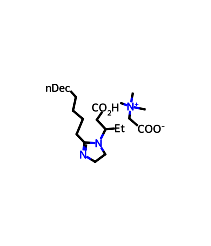 CCCCCCCCCCCCCCC1=NCCN1C(CC)CC(=O)O.C[N+](C)(C)CC(=O)[O-]